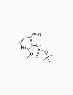 COc1nccc(C=O)c1NC(=O)OC(C)(C)C